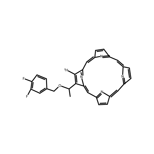 [2H]C1=C(C(C)OCc2ccc(F)c(F)c2)C2=CC3=NC(=CC4=NC(=CC5=NC(=CC1=N2)C=C5)C=C4)C=C3